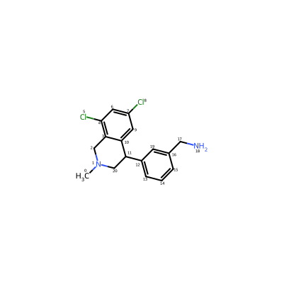 CN1Cc2c(Cl)cc(Cl)cc2C(c2cccc(CN)c2)C1